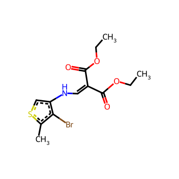 CCOC(=O)C(=CNc1csc(C)c1Br)C(=O)OCC